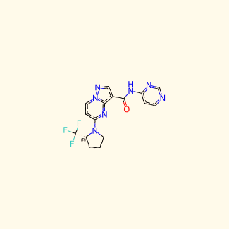 O=C(Nc1ccncn1)c1cnn2ccc(N3CCC[C@@H]3C(F)(F)F)nc12